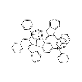 c1ccc(N(c2ccccc2)c2ccc3c(c2)-c2ccccc2C32c3ccccc3-c3c2c(N(c2ccccc2)c2ccc4c(c2)c2ccccc2n4-c2ccccc2)cc2ccccc32)cc1